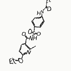 CCOc1ccc(C(=O)NS(=O)(=O)c2ccc(NC(=O)CC)cc2)c(C)n1